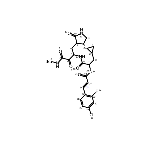 CC(C)(C)NC(=O)C(=O)C(CC1CCNC1=O)NC(=O)C(CC1CC1)NC(=O)/C=C/c1ccc(Cl)cc1F